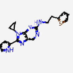 c1c[nH]c(-c2nc3cnc(NCCc4cccs4)nc3n2C2CC2)c1